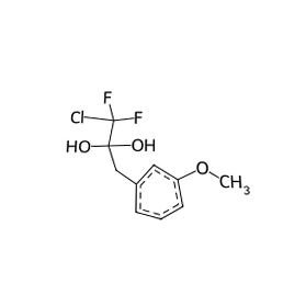 COc1cccc(CC(O)(O)C(F)(F)Cl)c1